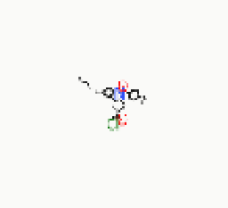 CCCCCCc1ccc2c(c1)c1c(n2C(=O)c2ccc(C(C)(C)C)cc2)CCC(C(=O)CCl)C1